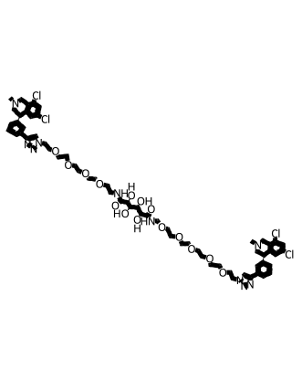 CN1Cc2c(Cl)cc(Cl)cc2[C@H](c2cccc(-c3cn(CCOCCOCCOCCOCCNC(=O)[C@H](O)[C@@H](O)[C@@H](O)[C@H](O)C(=O)NCOCCOCCOCCOCCOCCn4cc(-c5cccc([C@@H]6CN(C)Cc7c(Cl)cc(Cl)cc76)c5)nn4)nn3)c2)C1